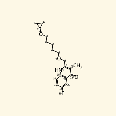 Cc1c(COCCCCCOC2CC2)[nH]c2ccc(F)cc2c1=O